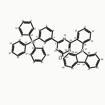 Clc1nc(-c2cccc([Si](c3ccccc3)(c3ccccc3)c3ccccc3)c2)nc(-c2ccccc2-n2c3ccccc3c3ccccc32)n1